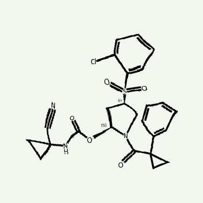 N#CC1(NC(=O)O[C@H]2C[C@@H](S(=O)(=O)c3ccccc3Cl)CN2C(=O)C2(c3ccccc3)CC2)CC1